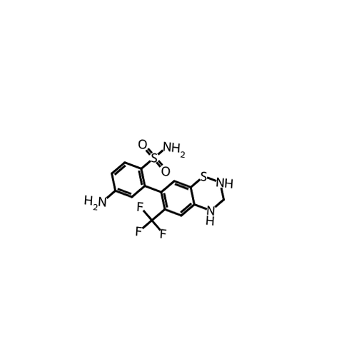 Nc1ccc(S(N)(=O)=O)c(-c2cc3c(cc2C(F)(F)F)NCNS3)c1